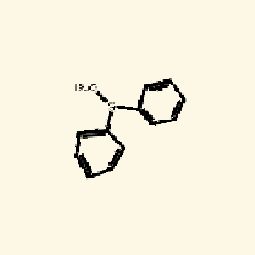 CC(C)CO[Si](c1ccccc1)c1ccccc1